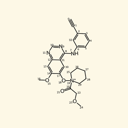 C#Cc1cccc(Nc2ncnc3cc(OC)c(O[N+]4(C(=O)COC)CCCCC4)cc23)c1